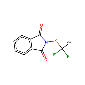 [2H]C(F)(F)SN1C(=O)c2ccccc2C1=O